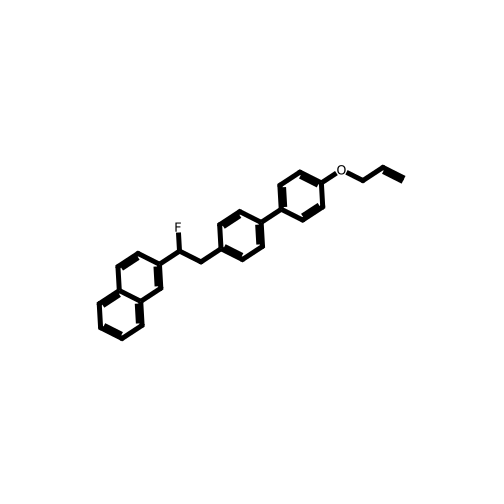 C=CCOc1ccc(-c2ccc(CC(F)c3ccc4ccccc4c3)cc2)cc1